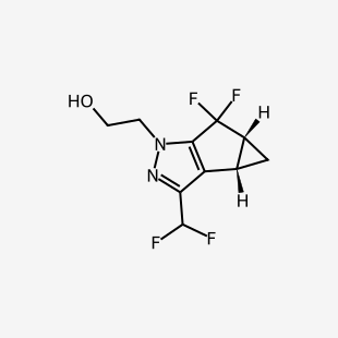 OCCn1nc(C(F)F)c2c1C(F)(F)[C@@H]1C[C@H]21